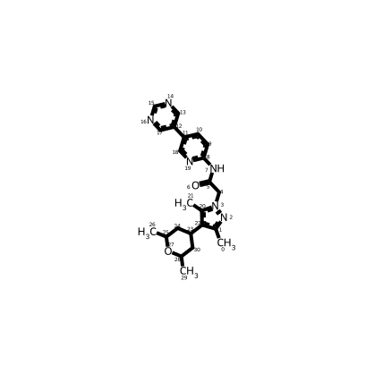 Cc1nn(CC(=O)Nc2ccc(-c3cncnc3)cn2)c(C)c1C1CC(C)OC(C)C1